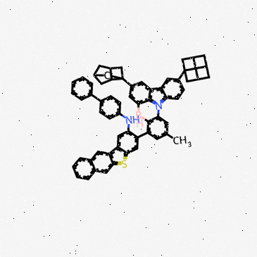 Cc1cc(-c2cc3sc4cc5ccccc5cc4c3cc2Nc2ccc(-c3ccccc3)cc2)c2c(c1)-n1c3ccc(C45CC6CC7CC(C4)C765)cc3c3cc(C45CC6CC(C4)C5C6)cc(c31)B2